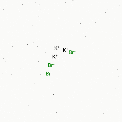 [Br-].[Br-].[Br-].[K+].[K+].[K+]